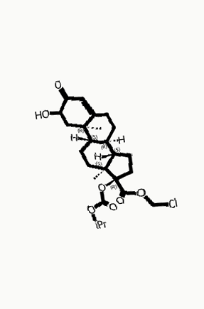 CC(C)OC(=O)O[C@]1(C(=O)OCCl)CC[C@H]2[C@@H]3CCC4=CC(=O)C(O)C[C@]4(C)[C@H]3CC[C@@]21C